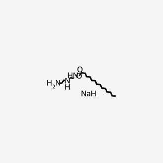 CCCCCCCCCCCCCC(=O)ONCCNCCN.[NaH]